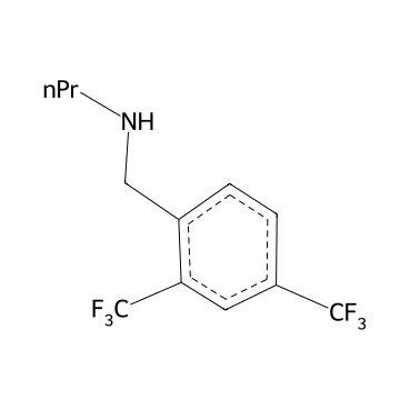 CCCNCc1ccc(C(F)(F)F)cc1C(F)(F)F